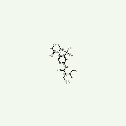 CCN(C)[C@@H](CN)C(=O)Nc1ccc(N2CCOCC2=O)c(C(F)(F)F)c1